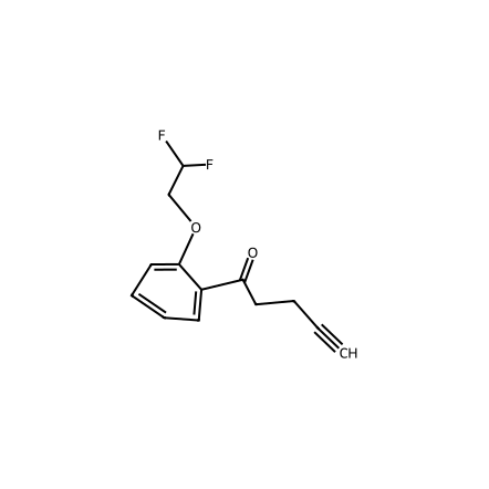 C#CCCC(=O)c1ccccc1OCC(F)F